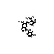 COc1cc2ncnc(Nc3cccc(Cl)c3F)c2cc1CN1C[C@@H]2C[C@@H]2C1C(N)=O